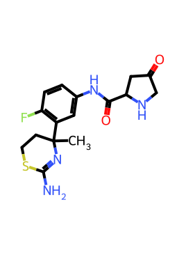 CC1(c2cc(NC(=O)C3CC(=O)CN3)ccc2F)CCSC(N)=N1